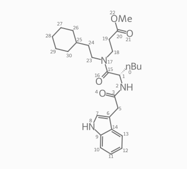 CCCC[C@H](NC(=O)Cc1c[nH]c2ccccc12)C(=O)N(CCC(=O)OC)CCC1CCCCC1